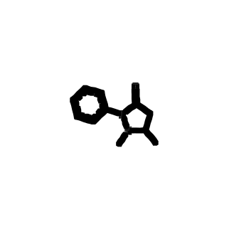 CC1CC(=O)N(c2ccccc2)N1C